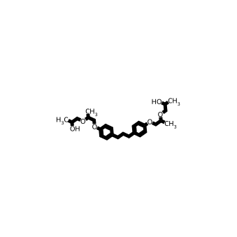 CC(O)COC(C)COc1ccc(CCCc2ccc(OCC(C)OCC(C)O)cc2)cc1